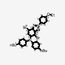 CCCCc1ccc(N(c2ccc(CCCC)cc2)c2cc(Br)c3nn(-c4ccc(OCC)cc4)nc3c2Br)cc1